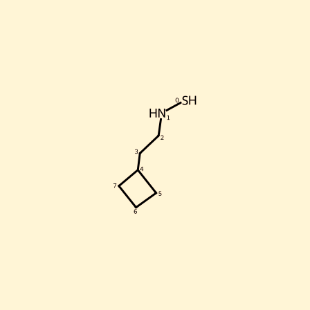 SNCCC1CCC1